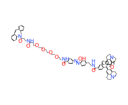 O=C(CCOCCOCCOCCOCCNC(=O)c1ccc(/N=N/c2ccc(CCNC(=O)c3ccc(C4=c5cc6c7c(c5Oc5c4cc4c8c5CCCN8CCC4)CCC[N+]=7CCC6)c(C(=O)O)c3)cc2O)cc1)NCCC(=O)N1Cc2ccccc2/C=C\c2ccccc21